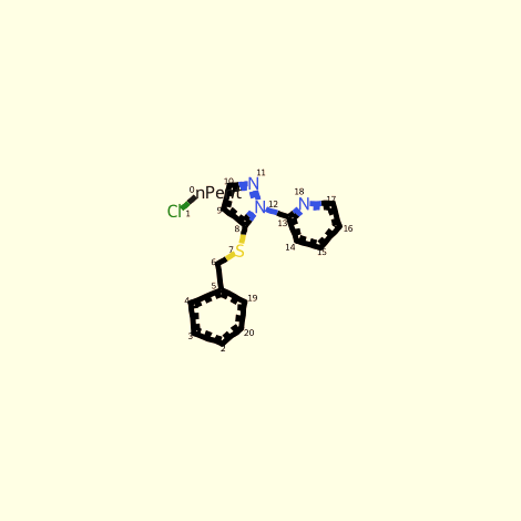 CCCCCCl.c1ccc(CSc2ccnn2-c2ccccn2)cc1